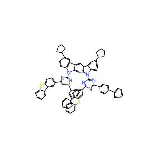 c1ccc(-c2ccc(-c3nc(-c4ccc(-c5ccccc5)cc4)nc(-n4c5ccc(C6CCCC6)cc5c5cc6c7cc(C8CCCC8)ccc7n(-c7nc(-c8ccc9sc%10ccccc%10c9c8)cc(-c8ccc9sc%10ccccc%10c9c8)n7)c6cc54)n3)cc2)cc1